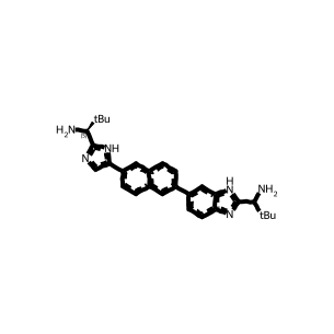 CC(C)(C)C(N)c1nc2ccc(-c3ccc4cc(-c5cnc([C@@H](N)C(C)(C)C)[nH]5)ccc4c3)cc2[nH]1